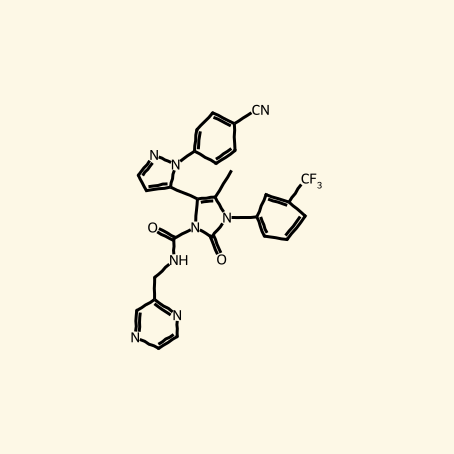 Cc1c(-c2ccnn2-c2ccc(C#N)cc2)n(C(=O)NCc2cnccn2)c(=O)n1-c1cccc(C(F)(F)F)c1